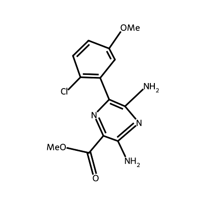 COC(=O)c1nc(-c2cc(OC)ccc2Cl)c(N)nc1N